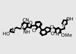 COc1nc(O[C@H]2CCc3c(-c4cccc(-c5cc6c(=N)n(CCN7CC(O)C7)cc(C#N)c6o5)c4Cl)cccc32)c(Cl)cc1CN1CC[C@@H](O)C1